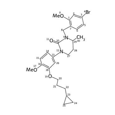 COc1cc(Br)ccc1CN1C(=O)N(c2ccc(OC)c(OCCCC3CC3)c2)CCC1C